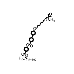 CCCCCCC(OC(=O)c1ccc(OC(=O)c2ccc(-c3ccc(OCCCCCCOCC4(C)COC4)cc3)cc2)cc1)C(F)(F)F